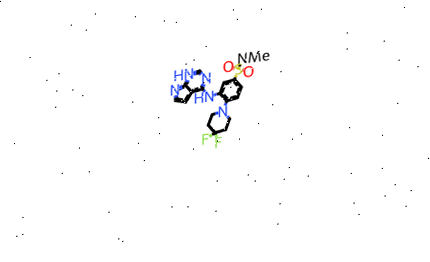 CNS(=O)(=O)c1ccc(N2CCC(F)(F)CC2)c(Nc2nc[nH]c3nccc2-3)c1